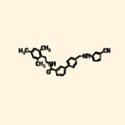 Cc1cc(C)c(CCNC(=O)c2cccc(-c3ccc(CNCc4cccc(C#N)c4)cc3)c2)c(C)c1